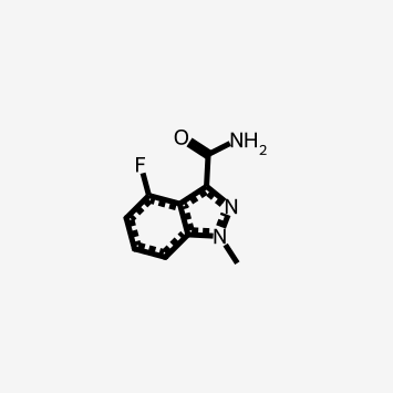 Cn1nc(C(N)=O)c2c(F)cccc21